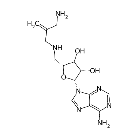 C=C(CN)CNC[C@H]1O[C@@H](n2cnc3c(N)ncnc32)C(O)C1O